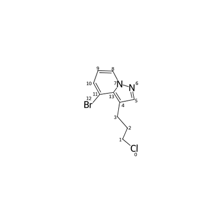 ClCCCc1cnn2cccc(Br)c12